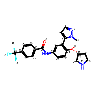 Cn1nccc1-c1cc(NC(=O)c2ccc(C(F)(F)F)cc2)ccc1O[C@@H]1CCNC1